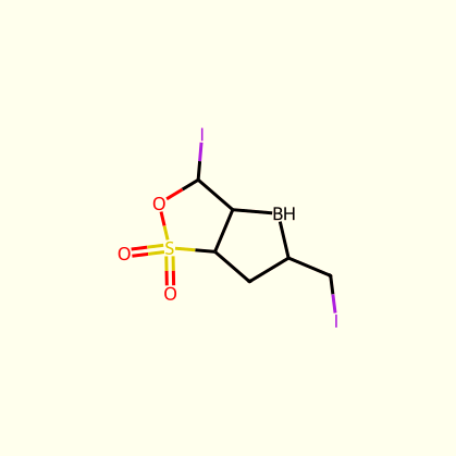 O=S1(=O)OC(I)C2BC(CI)CC21